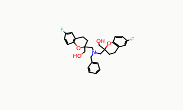 OCC1(CN(Cc2ccccc2)CC2(CO)CCc3cc(F)ccc3O2)CCc2cc(F)ccc2O1